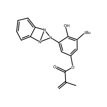 C=C(C)C(=O)Oc1cc(-n2n3c4ccccc4n23)c(O)c(C(C)(C)C)c1